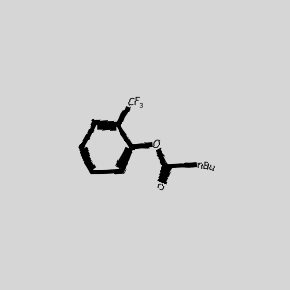 CCCCC(=O)Oc1ccccc1C(F)(F)F